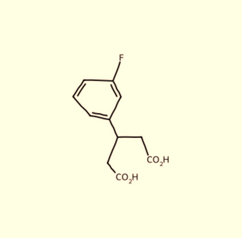 O=C(O)CC(CC(=O)O)c1cccc(F)c1